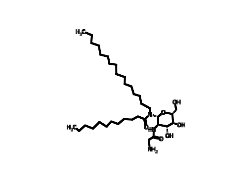 CCCCCCCCCCCCCCCCN(C(=O)CCCCCCCCCCC)[C@@H]1O[C@H](CO)[C@@H](O)[C@H](O)[C@H]1NC(=O)CN